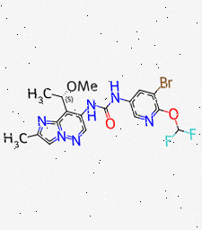 CO[C@@H](C)c1c(NC(=O)Nc2cnc(OC(F)F)c(Br)c2)cnn2cc(C)nc12